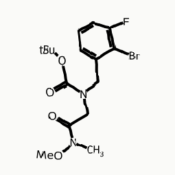 CON(C)C(=O)CN(Cc1cccc(F)c1Br)C(=O)OC(C)(C)C